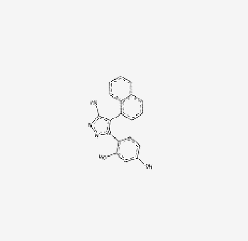 Oc1ccc(-n2nnc(S)c2-c2cccc3ccccc23)c(O)c1